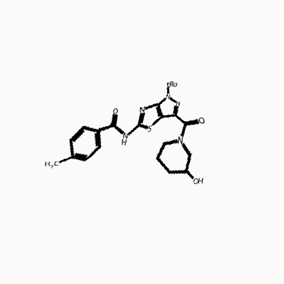 Cc1ccc(C(=O)Nc2nc3c(s2)c(C(=O)N2CCCC(O)C2)nn3C(C)(C)C)cc1